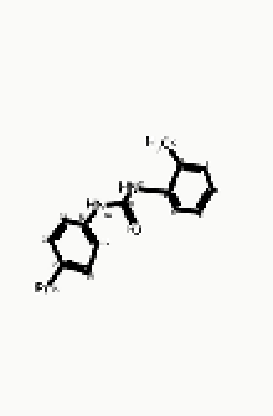 Cc1ccccc1NC(=O)Nc1ccc(C(C)C)cc1